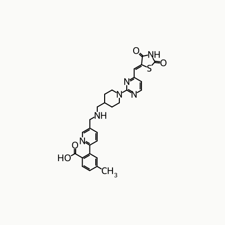 Cc1ccc(C(=O)O)c(-c2ccc(CNCC3CCN(c4nccc(/C=C5\SC(=O)NC5=O)n4)CC3)cn2)c1